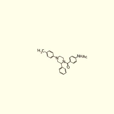 CC(=O)Nc1ccc(C(=O)N2CCN(c3ccc(C)cc3)CC2c2ccccc2)cc1